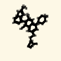 CN1CC[C@H]1COc1nc(N2CCNCC2)c2cc(Cl)c(-c3cccc4sc(N)nc34)c(F)c2n1